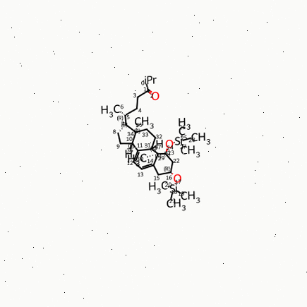 CC(C)C(=O)CC[C@@H](C)[C@H]1CC[C@H]2C3=CC=C4C[C@@H](O[Si](C)(C)C)C[C@H](O[Si](C)(C)C)[C@]4(C)[C@H]3CC[C@]12C